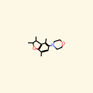 Cc1cc(N2CCOCC2)c(C)c2c1OC(C)C2C